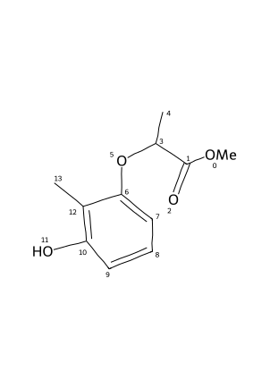 COC(=O)C(C)Oc1cccc(O)c1C